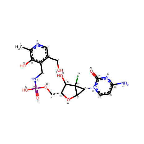 Cc1ncc(CO)c(CNP(=O)(O)OC[C@H]2OC3[C@@H](n4ccc(N)nc4=O)C3(F)C2O)c1O